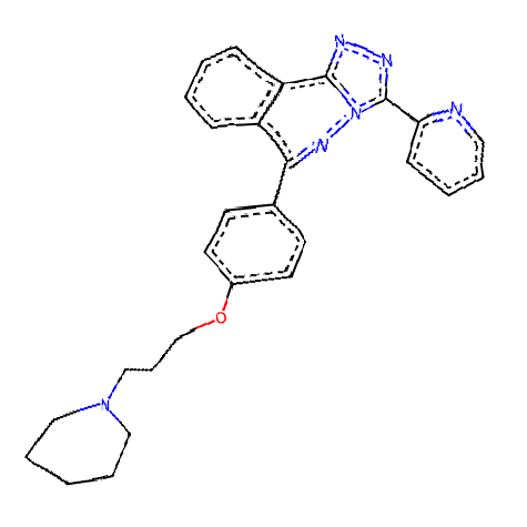 c1ccc(-c2nnc3c4ccccc4c(-c4ccc(OCCCN5CCCCC5)cc4)nn23)nc1